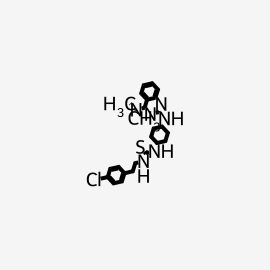 CN(C)c1nc(N[C@H]2CC[C@@H](NC(=S)NCCc3ccc(Cl)cc3)CC2)nc2ccccc12